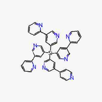 c1ccc(-c2cncc([Si](c3cncc(-c4ccncc4)c3)(c3cncc(-c4ccccn4)c3)c3cncc(-c4ccccn4)c3)c2)nc1